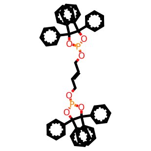 C(=CCOP1OC(c2ccccc2)(c2ccccc2)C(c2ccccc2)(c2ccccc2)O1)COP1OC(c2ccccc2)(c2ccccc2)C(c2ccccc2)(c2ccccc2)O1